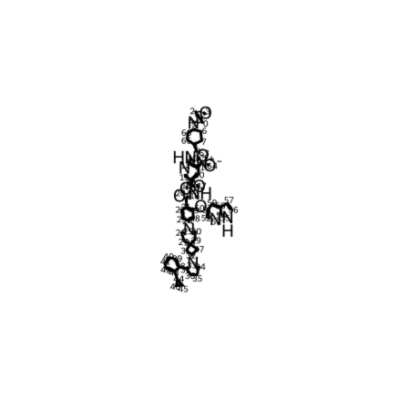 CS(C)(=O)=NC1CCC(CNc2ncc(S(=O)(=O)NC(=O)c3ccc(N4CCC5(CC4)CC(N4CCCC4c4ccccc4C4CC4)C5)cc3Oc3cnc4[nH]ccc4c3)cc2[N+](=O)[O-])CC1